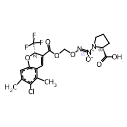 Cc1cc2c(c(C)c1Cl)C=C(C(=O)OCO/N=[N+](\[O-])N1CCC[C@H]1C(=O)O)[C@@H](C(F)(F)F)O2